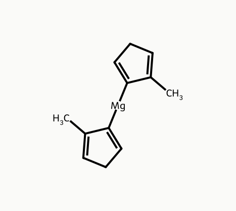 CC1=CCC=[C]1[Mg][C]1=CCC=C1C